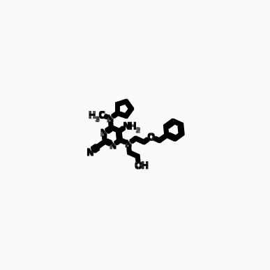 CN(c1nc(C#N)nc(N(CCO)CCOCc2ccccc2)c1N)C1CCCC1